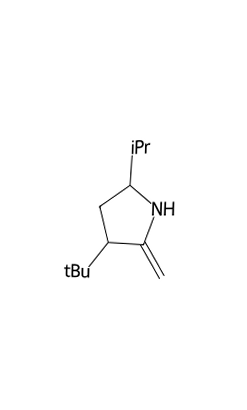 C=C1NC(C(C)C)CC1C(C)(C)C